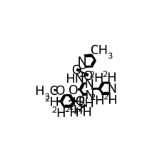 [2H]c1nc([2H])c([2H])c(-c2nc(NS(=O)(=O)c3ccc(C)cn3)c(Oc3c([2H])c([2H])c([2H])c([2H])c3OC)c(OC([2H])([2H])[2H])n2)c1[2H]